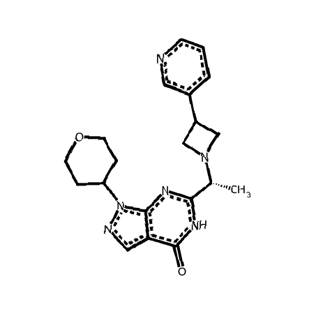 C[C@H](c1nc2c(cnn2C2CCOCC2)c(=O)[nH]1)N1CC(c2cccnc2)C1